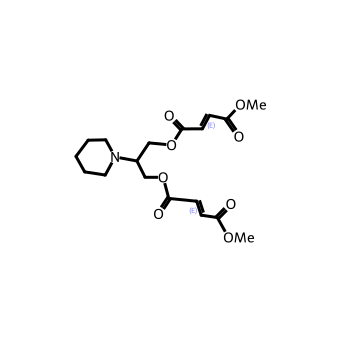 COC(=O)/C=C/C(=O)OCC(COC(=O)/C=C/C(=O)OC)N1CCCCC1